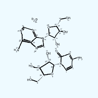 Nc1ccn([C@@H]2O[C@H](CO)[C@@H](O)[C@@H]2O)c(=O)n1.Nc1ncnc2c1ncn2[C@@H]1O[C@H](CO)[C@@H](O)[C@@H]1O.O